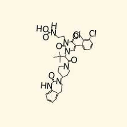 CC(C)(C)C(C(=O)N1CCC(N2CCc3ccccc3NC2=O)CC1)n1cc(-c2cccc(Cl)c2Cl)c(=O)n(CCNC(=O)O)c1=O